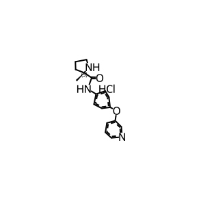 C[C@@]1(C(=O)Nc2ccc(Oc3cccnc3)cc2)CCCN1.Cl